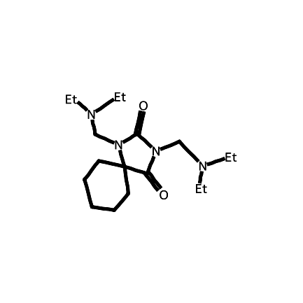 CCN(CC)CN1C(=O)N(CN(CC)CC)C2(CCCCC2)C1=O